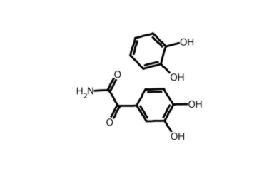 NC(=O)C(=O)c1ccc(O)c(O)c1.Oc1ccccc1O